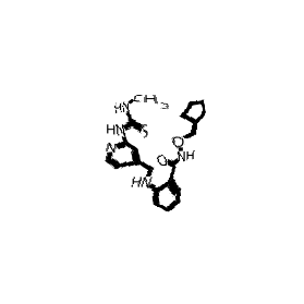 CNC(=S)Nc1cc(CNc2ccccc2C(=O)NOCC2CCCC2)ccn1